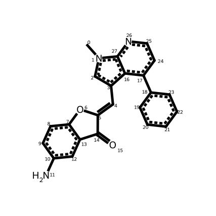 Cn1cc(C=C2Oc3ccc(N)cc3C2=O)c2c(-c3ccccc3)ccnc21